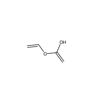 C=COC(=C)O